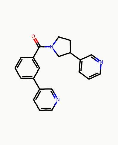 O=C(c1cccc(-c2cccnc2)c1)N1CCC(c2cccnc2)C1